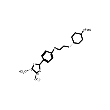 CCCCC[C@H]1CC[C@H](CCCOc2ccc(C3O[C@@H](C(=O)O)[C@H](C(=O)O)O3)cc2)CC1